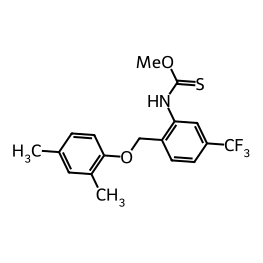 COC(=S)Nc1cc(C(F)(F)F)ccc1COc1ccc(C)cc1C